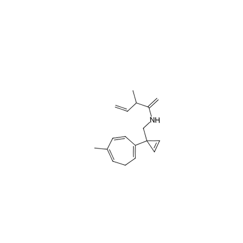 C=CC(C)C(=C)NCC1(C2=CCC=C(C)C=C2)C=C1